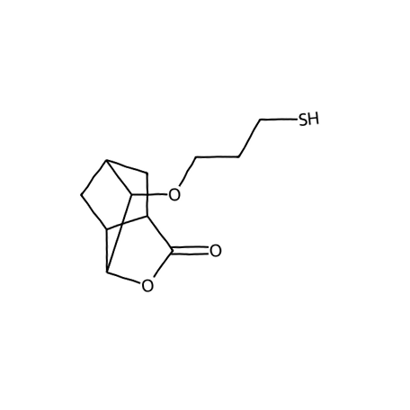 O=C1OC2C3CC(CC13)C2OCCCS